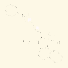 C[N+]1=C(/C=C/C=C/Nc2ccccc2)C(C)(C)c2c1ccc1ccccc21